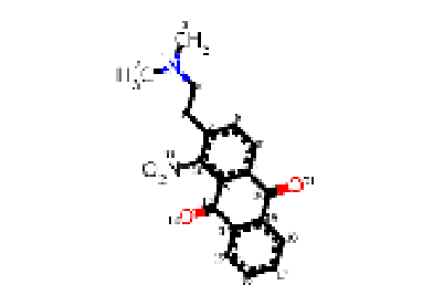 CN(C)CCc1ccc2c(c1[N+](=O)[O-])C(=O)c1ccccc1C2=O